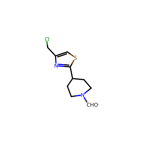 O=[C]N1CCC(c2nc(CCl)cs2)CC1